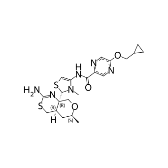 C[C@H]1C[C@H]2CSC(N)=N[C@@]2(C2SC=C(NC(=O)c3cnc(OCC4CC4)cn3)N2C)CO1